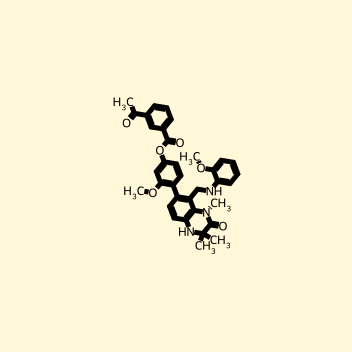 COc1ccccc1NCc1c(-c2ccc(OC(=O)c3cccc(C(C)=O)c3)cc2OC)ccc2c1N(C)C(=O)C(C)(C)N2